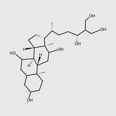 C[C@H](CC[C@@H](O)C(CO)CO)[C@H]1CC[C@H]2[C@@H]3C(O)CC4CC(O)CC[C@]4(C)[C@H]3CC(O)[C@]12C